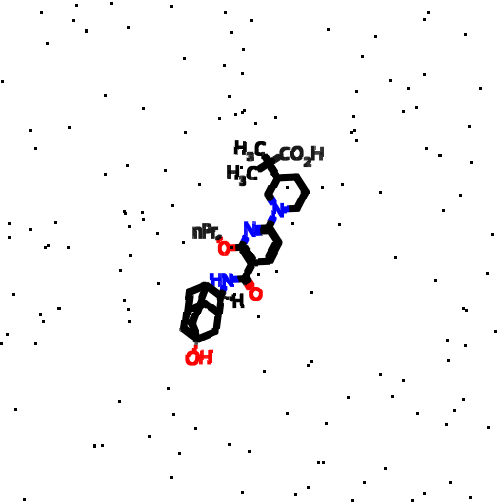 CCCOc1nc(N2CCCC(C(C)(C)C(=O)O)C2)ccc1C(=O)N[C@H]1C2CC3CC1C[C@](O)(C3)C2